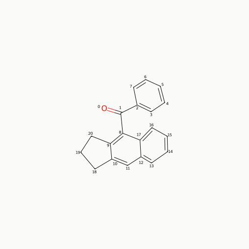 O=C(c1ccccc1)c1c2c(cc3ccccc13)CCC2